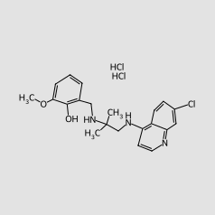 COc1cccc(CNC(C)(C)CNc2ccnc3cc(Cl)ccc23)c1O.Cl.Cl